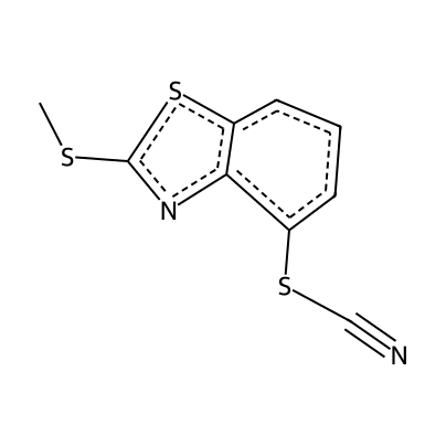 CSc1nc2c(SC#N)cccc2s1